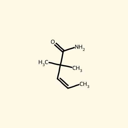 C/C=C\C(C)(C)C(N)=O